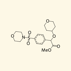 COC(=O)C(OC1CCOCC1)c1ccc(S(=O)(=O)N2CCOCC2)cc1